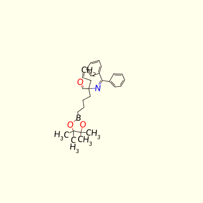 C=CCC(C=O)(CCCCB1OC(C)(C)C(C)(C)O1)N=C(c1ccccc1)c1ccccc1